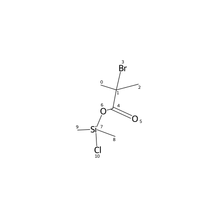 CC(C)(Br)C(=O)O[Si](C)(C)Cl